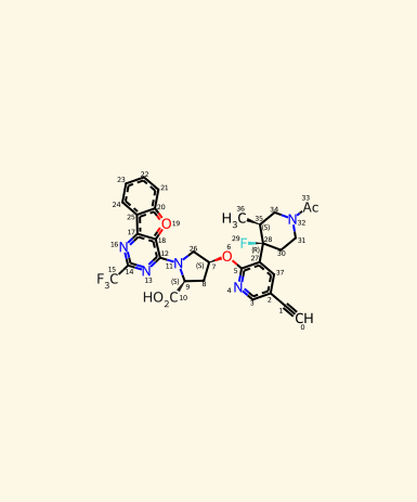 C#Cc1cnc(O[C@H]2C[C@@H](C(=O)O)N(c3nc(C(F)(F)F)nc4c3oc3ccccc34)C2)c([C@@]2(F)CCN(C(C)=O)C[C@@H]2C)c1